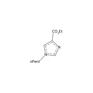 CCCCCn1cnc(C(=O)OCC)c1